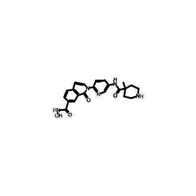 CC1(C(=O)Nc2ccc(-n3ccc4ccc(C(=O)NO)cc4c3=O)nc2)CCNCC1